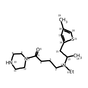 CCN(CCCC(=O)N1CCNCC1)C(C)Cc1cc(C)cs1